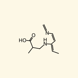 C=N/C=C\C(=C/C)NCC(C)C(=O)O